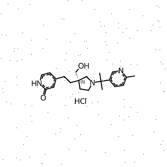 Cc1ccc(C(C)(C)N2CC[C@@](CO)(CCc3cc[nH]c(=O)c3)C2)cn1.Cl